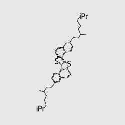 CC(C)CCCC(C)CCc1ccc2c(ccc3sc4c(sc5ccc6c(c54)C=CC(CCC(C)CCCC(C)C)C6)c32)c1